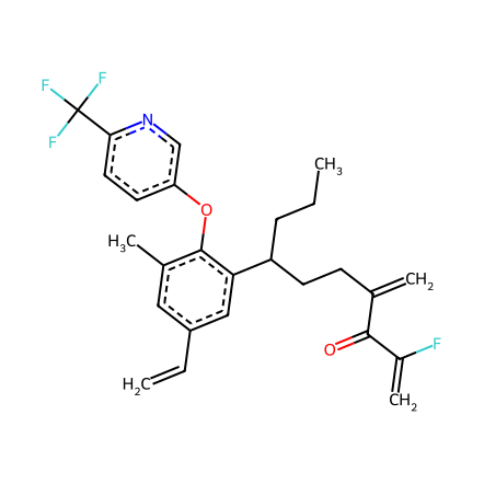 C=Cc1cc(C)c(Oc2ccc(C(F)(F)F)nc2)c(C(CCC)CCC(=C)C(=O)C(=C)F)c1